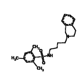 Cc1cc(C)c(S(=O)(=O)NCCCCN2CCc3ccccc3C2)c(C)c1